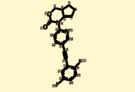 O=C1OCC2CCC=C2N1c1ccc(C#Cc2cc(F)ccc2F)cn1